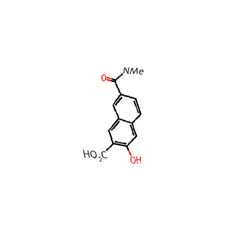 CNC(=O)c1ccc2cc(O)c(C(=O)O)cc2c1